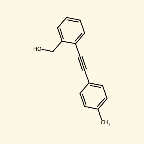 Cc1ccc(C#Cc2ccccc2CO)cc1